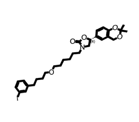 CC1(C)OCc2cc([C@@H]3CN(CCCCCCOCCCCc4cccc(I)c4)C(=O)O3)ccc2O1